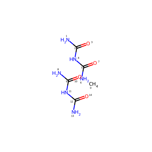 C.NC(=O)NC(N)=O.NC(=O)NC(N)=O